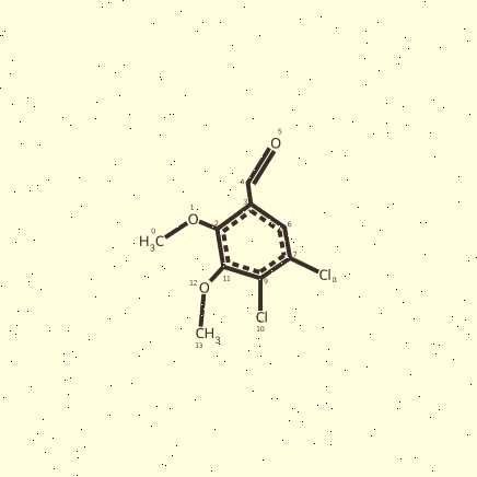 COc1c(C=O)cc(Cl)c(Cl)c1OC